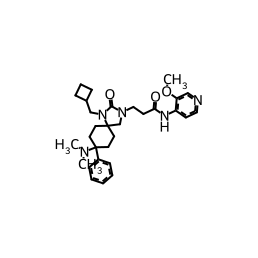 COc1cnccc1NC(=O)CCN1CC2(CCC(c3ccccc3)(N(C)C)CC2)N(CC2CCC2)C1=O